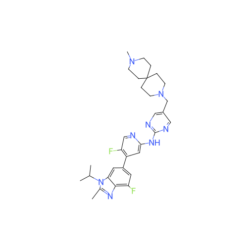 Cc1nc2c(F)cc(-c3cc(Nc4ncc(CN5CCC6(CCN(C)CC6)CC5)cn4)ncc3F)cc2n1C(C)C